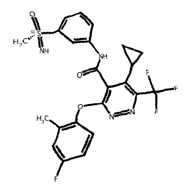 Cc1cc(F)ccc1Oc1nnc(C(F)(F)F)c(C2CC2)c1C(=O)Nc1cccc([S@@](C)(=N)=O)c1